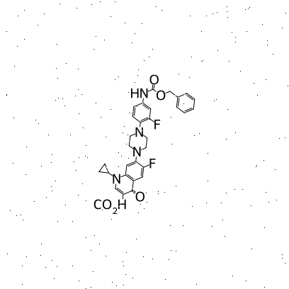 O=C(Nc1ccc(N2CCN(c3cc4c(cc3F)c(=O)c(C(=O)O)cn4C3CC3)CC2)c(F)c1)OCc1ccccc1